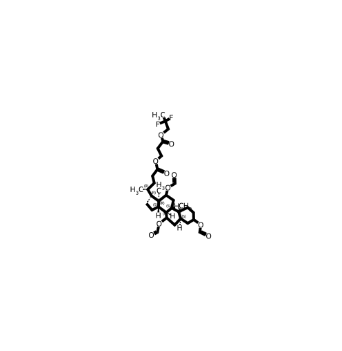 C[C@H](CCC(=O)OCCC(=O)OCC(C)(F)F)[C@H]1CC[C@H]2[C@@H]3C(OC=O)C[C@@H]4CC(OC=O)CC[C@]4(C)[C@H]3CC(OC=O)[C@]12C